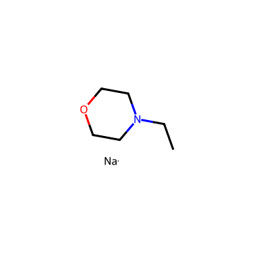 CCN1CCOCC1.[Na]